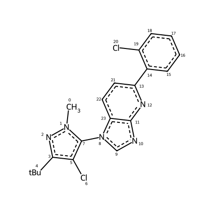 Cn1nc(C(C)(C)C)c(Cl)c1-n1cnc2nc(-c3ccccc3Cl)ccc21